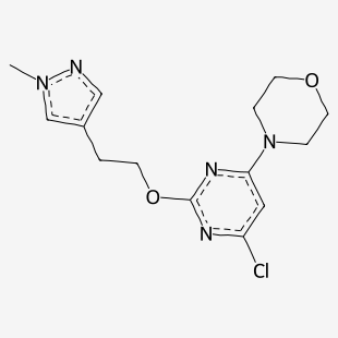 Cn1cc(CCOc2nc(Cl)cc(N3CCOCC3)n2)cn1